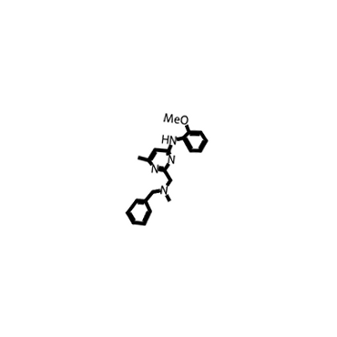 COc1ccccc1Nc1cc(C)nc(CN(C)Cc2ccccc2)n1